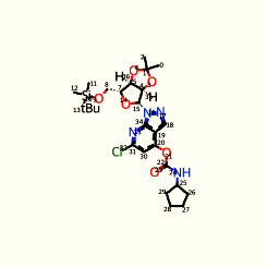 CC1(C)O[C@@H]2[C@H](O1)[C@@H](CO[Si](C)(C)C(C)(C)C)O[C@H]2n1ncc2c(OC(=O)NC3CCCC3)cc(Cl)nc21